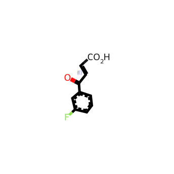 O=C(O)/C=C/C(=O)c1cccc(F)c1